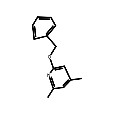 Cc1cc(C)nc(OCc2ccccc2)c1